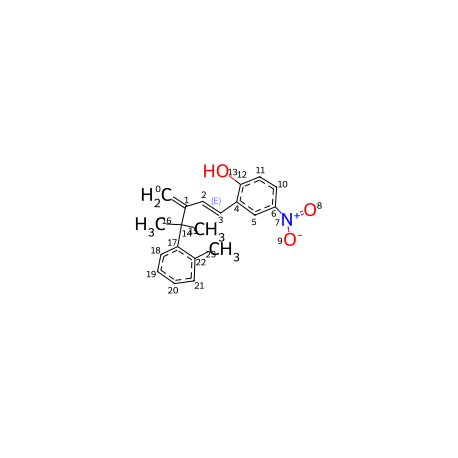 C=C(/C=C/c1cc([N+](=O)[O-])ccc1O)C(C)(C)c1ccccc1C